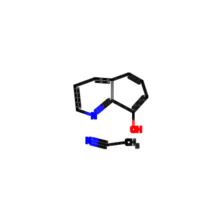 CC#N.Oc1cccc2cccnc12